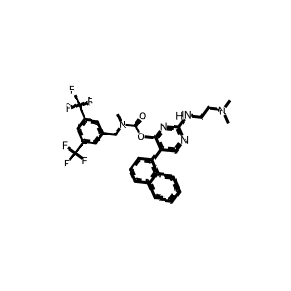 CN(C)CCNc1ncc(-c2cccc3ccccc23)c(OC(=O)N(C)Cc2cc(C(F)(F)F)cc(C(F)(F)F)c2)n1